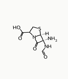 N[C@]1(NC=O)C(=O)N2C(C(=O)O)CS[C@H]21